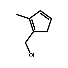 CC1=C(CO)CC=C1